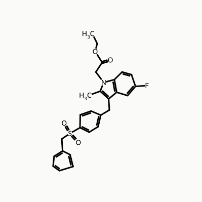 CCOC(=O)Cn1c(C)c(Cc2ccc(S(=O)(=O)Cc3ccccc3)cc2)c2cc(F)ccc21